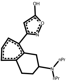 CCCN(CCC)C1CCc2cccc(-c3cc(O)on3)c2C1